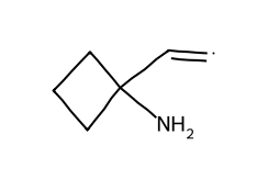 [CH]=CC1(N)CCC1